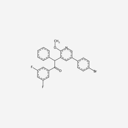 COc1ncc(-c2ccc(Br)cc2)cc1C(C(=O)c1cc(F)cc(F)c1)c1ccccc1